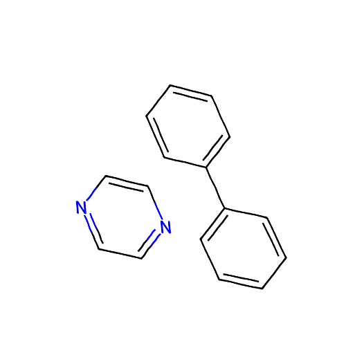 c1ccc(-c2ccccc2)cc1.c1cnccn1